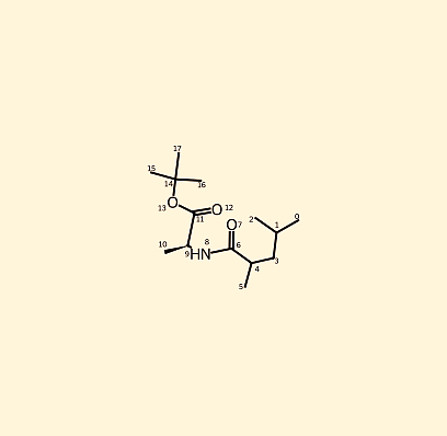 CC(C)CC(C)C(=O)N[C@@H](C)C(=O)OC(C)(C)C